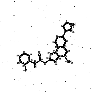 Nc1nc2cc(-c3cc[nH]n3)ccc2c2cn(CC(=O)Nc3ccccc3F)nc12